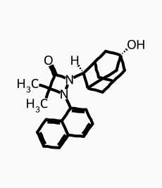 CC1(C)C(=O)N([C@H]2C3CC4CC2C[C@](O)(C4)C3)N1c1cccc2ccccc12